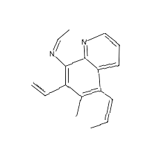 C=Cc1c(C)c(/C=C\C)c2cccnc2c1/N=C\C